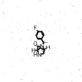 C[C@@H](c1ccc(F)cc1)N1C(=O)[C@@H]2C[C@H]1CN2